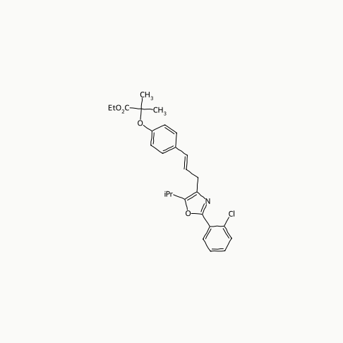 CCOC(=O)C(C)(C)Oc1ccc(C=CCc2nc(-c3ccccc3Cl)oc2C(C)C)cc1